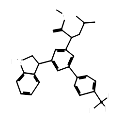 COC(=O)C(CC(C)C)c1cc(-c2ccc(C(F)(F)F)cc2)cc(C2CNc3ccccc32)c1